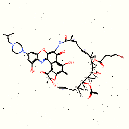 CC(=O)O[C@H]1[C@H](C)[C@H](O)[C@H](C)[C@@H](OC(=O)CCCBr)[C@@H](C)/C=C/C=C(/C)C(=O)Nc2c3oc4cc(N5CCN(CC(C)C)CC5)cc(O)c4nc-3c3c4c(c(C)c(O)c3c2=O)O[C@](C)(O/C=C/C[C@H]1C)C4=O